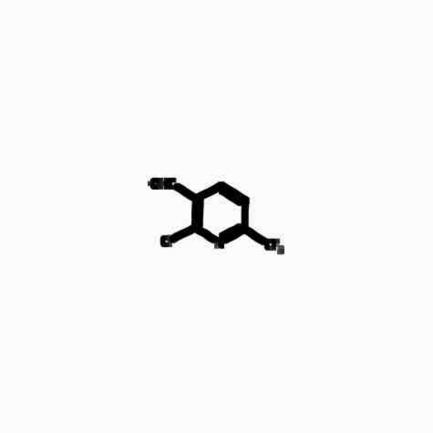 O=[C]c1ccc(C(F)(F)F)nc1Cl